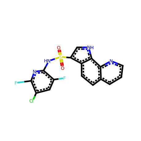 O=S(=O)(Nc1nc(F)c(Cl)cc1F)c1c[nH]c2c1ccc1cccnc12